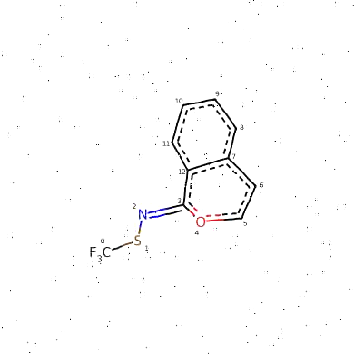 FC(F)(F)SN=c1occc2ccccc12